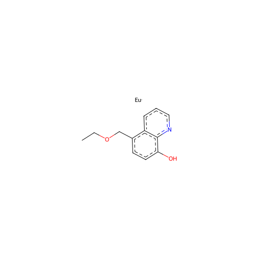 CCOCc1ccc(O)c2ncccc12.[Eu]